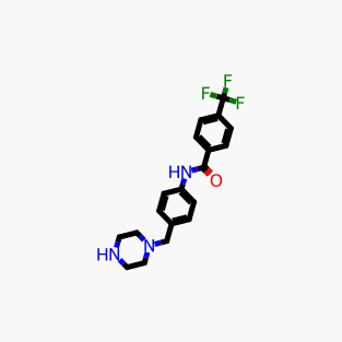 O=C(Nc1ccc(CN2CCNCC2)cc1)c1ccc(C(F)(F)F)cc1